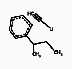 CCC(C)c1ccccc1.[Li][C]#C